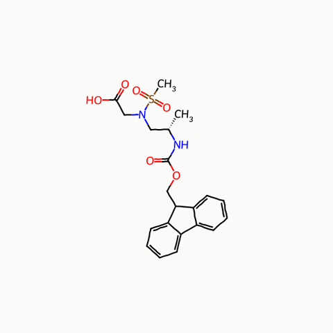 C[C@@H](CN(CC(=O)O)S(C)(=O)=O)NC(=O)OCC1c2ccccc2-c2ccccc21